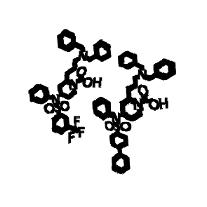 O=C(O)N1CC[C@H](N(c2ccccc2)S(=O)(=O)c2ccc(-c3ccccc3)cc2)CC1CCCN(Cc1ccccc1)Cc1ccccc1.O=C(O)N1CC[C@H](N(c2ccccc2)S(=O)(=O)c2cccc(C(F)(F)F)c2)CC1CCCN(Cc1ccccc1)Cc1ccccc1